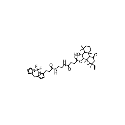 C=C[C@@]1(C)CC(=O)C2[C@@]3(C)CCCC(C)(C)C3[C@H](O)[C@H](OC(=O)CCC(=O)NCCNC(=O)CCc3ccc4n3C(F)(F)n3cccc3C4)[C@@]2(C)O1